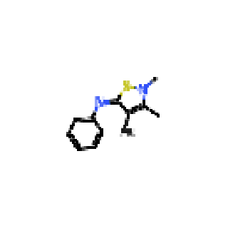 CC(=O)c1c(C)n(C)sc1=Nc1ccccc1